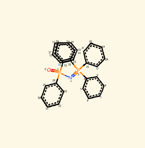 O=P(N=P(c1ccccc1)(c1ccccc1)c1ccccc1)(c1ccccc1)c1ccccc1